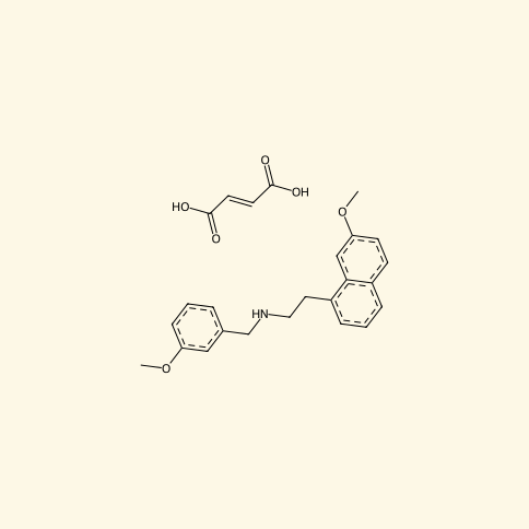 COc1cccc(CNCCc2cccc3ccc(OC)cc23)c1.O=C(O)/C=C/C(=O)O